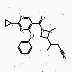 CC(CC#N)C1CN(C(=O)c2cnc(C3CC3)nc2Oc2ccccc2)C1C